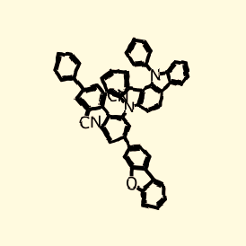 N#Cc1cc(-c2ccccc2)cc(C#N)c1-c1ccc(-c2ccc3c(c2)oc2ccccc23)cc1-n1c2ccccc2c2c1ccc1c3ccccc3n(-c3ccccc3)c12